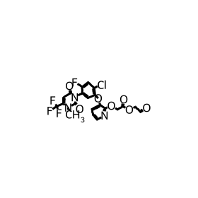 Cn1c(C(F)(F)F)cc(=O)n(-c2cc(Oc3cccnc3OCC(=O)OCC=O)c(Cl)cc2F)c1=O